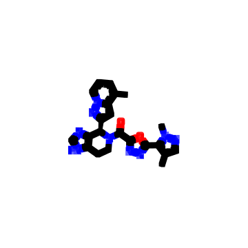 Cc1cnn(C)c1-c1nnc(C(=O)N2CCc3[nH]cnc3[C@H]2c2cc3c(C)cccn3n2)o1